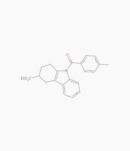 CCOC(=O)C1CCc2c(c3ccccc3n2C(=O)c2ccc(C)cc2)C1